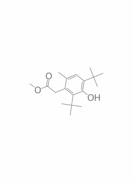 COC(=O)Cc1c(C)cc(C(C)(C)C)c(O)c1C(C)(C)C